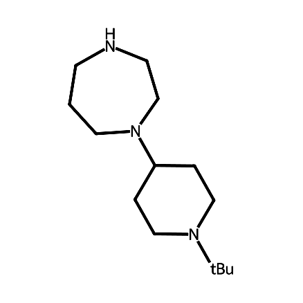 CC(C)(C)N1CCC(N2CCCNCC2)CC1